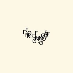 CC(C)(OC(=O)N[C@@H]1COCC[C@H]1N1Cc2c(F)cc(-c3nnc(C(F)F)o3)cc2C1=O)C(F)(F)F